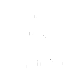 C[C@]1(c2cccc(Cl)c2F)CN(c2ccccn2)C(=O)c2cnc(NC3CN(C(=O)[C@@H]4C[C@@H]4F)C3)c(F)c21